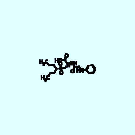 CCCC(CCC)S(=O)(=O)C[C@@H](NC(=O)CNc1ccccc1)C(=O)O